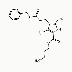 CCCCOC(=O)c1[nH]c(C)c(CCC(=O)OCc2ccccc2)c1C